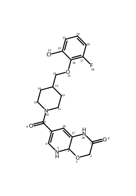 O=C1COC2NC=C(C(=O)N3CCC(COc4c(F)cccc4Cl)CC3)C=C2N1